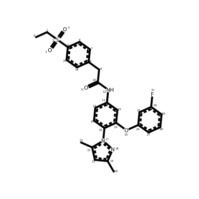 CCS(=O)(=O)c1ccc(CC(=O)Nc2ccc(-n3nc(C)cc3C)c(Oc3cccc(F)c3)c2)cc1